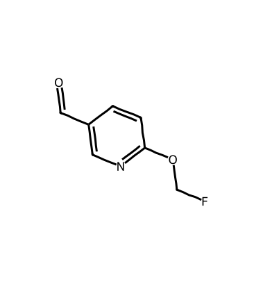 O=Cc1ccc(OCF)nc1